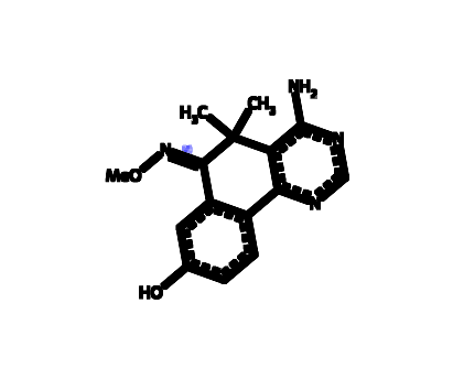 CO/N=C1\c2cc(O)ccc2-c2ncnc(N)c2C1(C)C